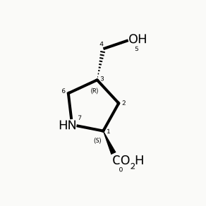 O=C(O)[C@@H]1C[C@@H](CO)CN1